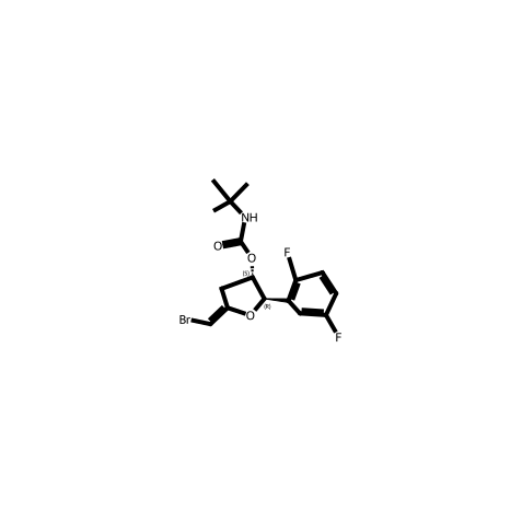 CC(C)(C)NC(=O)O[C@H]1CC(=CBr)O[C@@H]1c1cc(F)ccc1F